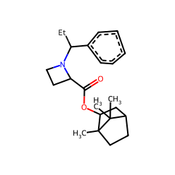 CCC(c1ccccc1)N1CCC1C(=O)OC1CC2CCC1(C)C2(C)C